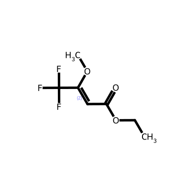 CCOC(=O)/C=C(\OC)C(F)(F)F